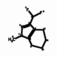 Cn1nc(C(F)F)c2c1CCCC2